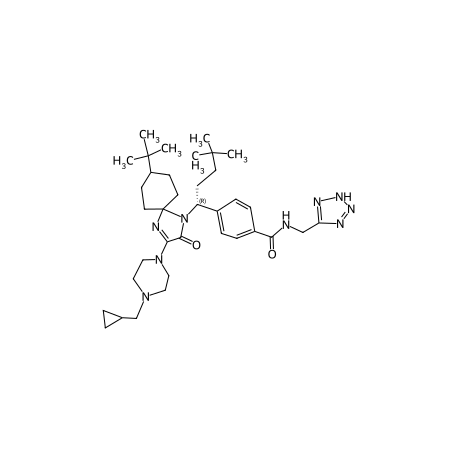 CC(C)(C)CC[C@H](c1ccc(C(=O)NCc2nn[nH]n2)cc1)N1C(=O)C(N2CCN(CC3CC3)CC2)=NC12CCC(C(C)(C)C)CC2